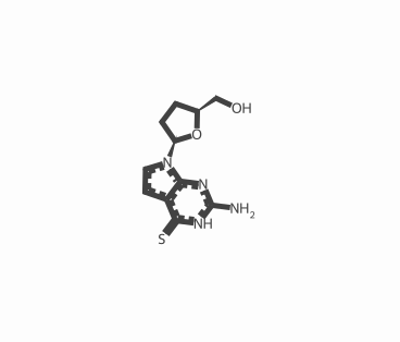 Nc1nc2c(ccn2[C@H]2CC[C@@H](CO)O2)c(=S)[nH]1